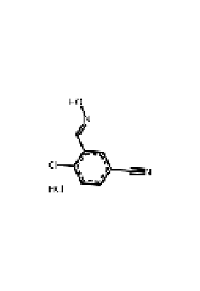 Cl.N#Cc1ccc(Cl)c(C=NO)c1